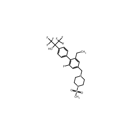 CCc1cc(CN2CCN(S(C)(=O)=O)CC2)cc(F)c1-c1ccc(C(O)(C(F)(F)F)C(F)(F)F)cc1